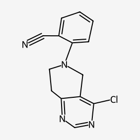 N#Cc1ccccc1N1CCc2ncnc(Cl)c2C1